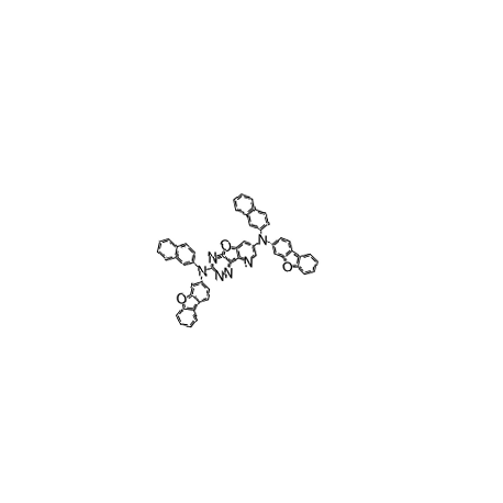 c1ccc2cc(N(c3ccc4c(c3)oc3ccccc34)c3cnc4c(c3)oc3nc(N(c5ccc6ccccc6c5)c5ccc6c(c5)oc5ccccc56)nnc34)ccc2c1